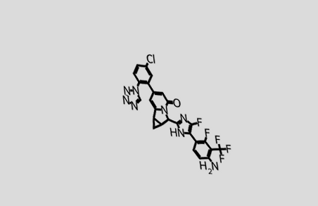 Nc1ccc(-c2[nH]c(C3C4CC4c4cc(-c5cc(Cl)ccc5-n5cnnn5)cc(=O)n43)nc2F)c(F)c1C(F)(F)F